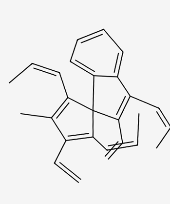 C=CC1=C(/C=C\C)C2(C(C=C)=C(/C=C\C)c3ccccc32)C(/C=C\C)=C1C